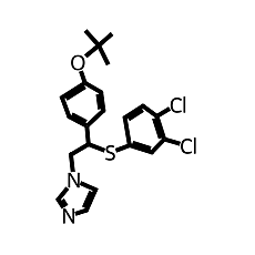 CC(C)(C)Oc1ccc(C(Cn2ccnc2)Sc2ccc(Cl)c(Cl)c2)cc1